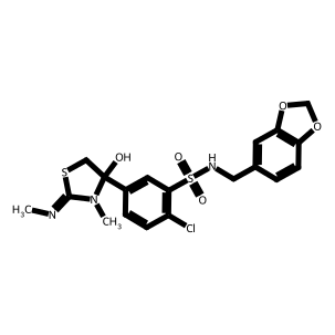 C/N=C1\SCC(O)(c2ccc(Cl)c(S(=O)(=O)NCc3ccc4c(c3)OCO4)c2)N1C